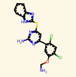 NCOc1cc(-c2cc(Sc3nc4ccccc4[nH]3)nc(N)n2)c(Cl)cc1Cl